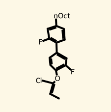 C/C=C(/Cl)Oc1ccc(-c2ccc(CCCCCCCC)cc2F)cc1F